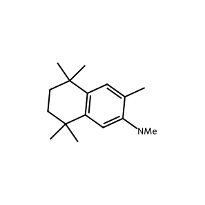 CNc1cc2c(cc1C)C(C)(C)CCC2(C)C